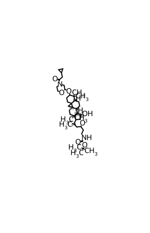 C[C@@H]1CC(CCNC(=O)OC(C)(C)C)OC2C1[C@@]1(C)CC[C@@]34CC35CCC(OC3CN(C(=O)CC6CC6)CCO3)C(C)(C)[C@@H]5CC[C@H]4[C@]1(C)[C@H]2O